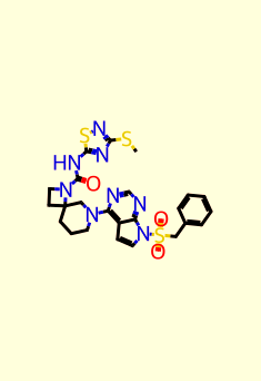 CSc1nsc(NC(=O)N2CCC23CCCN(c2ncnc4c2ccn4S(=O)(=O)Cc2ccccc2)C3)n1